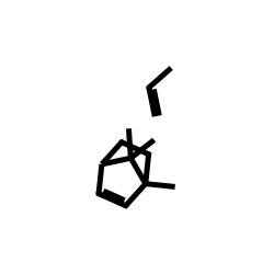 C=CC.CC12C=CC(CC1)C2(C)C